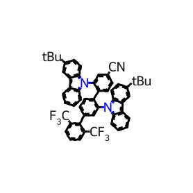 CC(C)(C)c1ccc2c(c1)c1ccccc1n2-c1cc(C#N)ccc1-c1ccc(-c2c(C(F)(F)F)cccc2C(F)(F)F)cc1-n1c2ccccc2c2cc(C(C)(C)C)ccc21